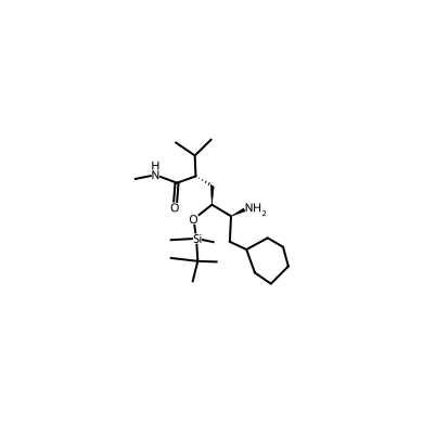 CNC(=O)[C@@H](C[C@H](O[Si](C)(C)C(C)(C)C)[C@@H](N)CC1CCCCC1)C(C)C